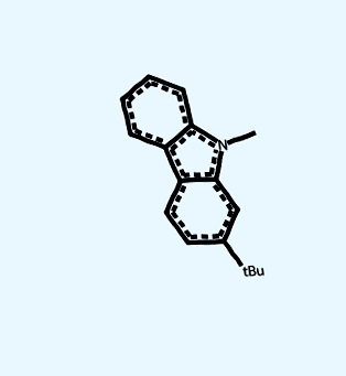 Cn1c2ccccc2c2ccc(C(C)(C)C)cc21